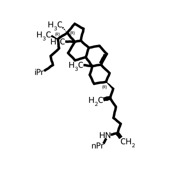 C=C(CCCC(=C)NCCC)C[C@H]1CCC2(C)C(=CCC3C2CCC2(C)C3CC[C@]2(C)[C@H](C)CCCC(C)C)C1